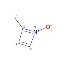 CC1=[N+]([O-])C=C1